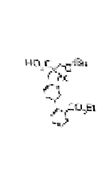 CCOC(=O)c1ccccc1-c1ccc(CC(COC(C)(C)C)(C(C)=O)C(=O)O)cc1